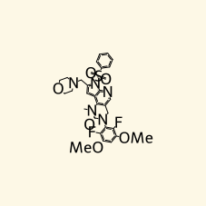 COc1cc(OC)c(F)c(N2Cc3cnc4c(cc(CN5CCOCC5)n4S(=O)(=O)c4ccccc4)c3N(C)C2=O)c1F